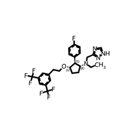 CCN(Cc1nc[nH]n1)[C@@H]1CC[C@H](OCCc2cc(C(F)(F)F)cc(C(F)(F)F)c2)[C@H]1c1ccc(F)cc1